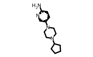 Nc1ccc(N2CCN(C3CCCC3)CC2)cn1